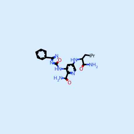 CC(C)CC(Nc1cnc(C(N)=O)c(Nc2nc(-c3ccccc3)no2)c1)C(N)=O